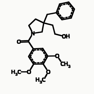 COc1cc(C(=O)N2CCC(CCO)(Cc3ccccc3)C2)cc(OC)c1OC